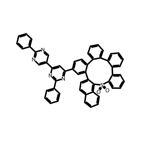 O=S1(=O)c2ccccc2-c2ccccc2-c2ccccc2-c2ccc(-c3cc(-c4cnc(-c5ccccc5)nc4)nc(-c4ccccc4)n3)cc2-c2ccc3ccccc3c21